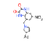 CC(=O)c1ccn(Cc2cc([N+](=O)[O-])cc3[nH]c(=O)c(=O)[nH]c23)c1